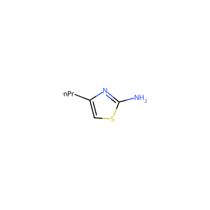 [CH2]C[CH]c1csc(N)n1